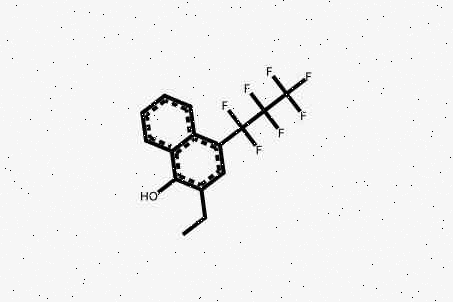 CCc1cc(C(F)(F)C(F)(F)C(F)(F)F)c2ccccc2c1O